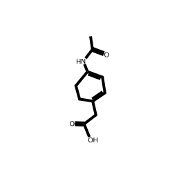 CC(=O)NC1=CC=C(CC(=O)O)CC1